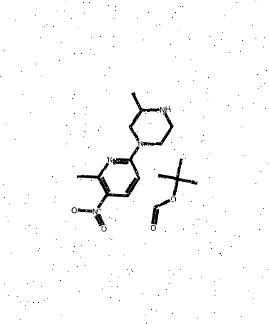 CC(C)(C)OC=O.Cc1nc(N2CCNC(C)C2)ccc1[N+](=O)[O-]